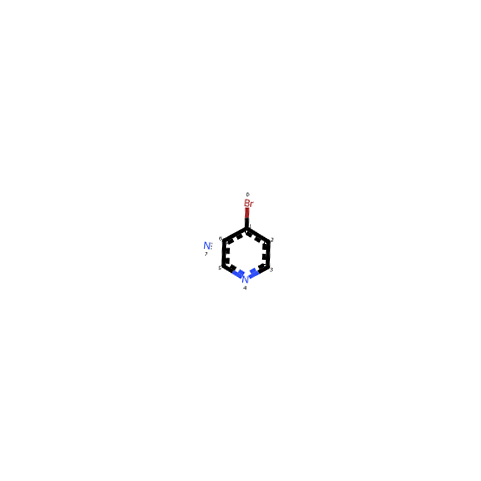 Brc1ccncc1.[N]